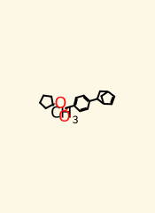 CC1(OC(=O)c2ccc(C3CC4C=CC3C4)cc2)CCCC1